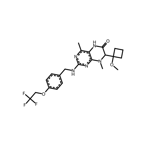 COC1(C2C(=O)Nc3c(C)nc(NCc4ccc(OCC(F)(F)F)cc4)nc3N2C)CCC1